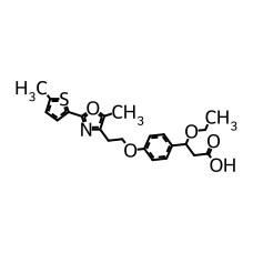 CCOC(CC(=O)O)c1ccc(OCCc2nc(-c3ccc(C)s3)oc2C)cc1